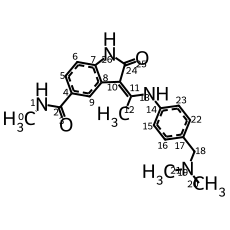 CNC(=O)c1ccc2c(c1)/C(=C(\C)Nc1ccc(CN(C)C)cc1)C(=O)N2